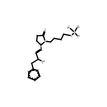 CC(C)[Si](SCCCCN1C(=O)CC[C@@H]1C=CC(O)Cc1ccccc1)(C(C)C)C(C)C